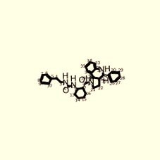 O=C(NCCc1ccccc1)N[C@@H]1CCCC[C@@H]1C(=O)N1CC[C@@H]2[C@H](c3ccccc3)Nc3ccccc3[C@@H]21